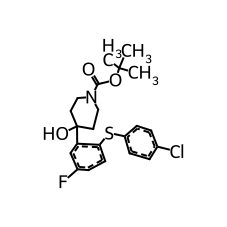 CC(C)(C)OC(=O)N1CCC(O)(c2cc(F)ccc2Sc2ccc(Cl)cc2)CC1